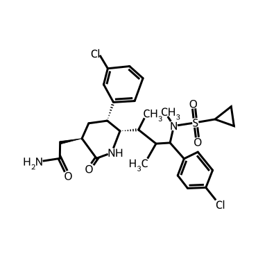 CC(C(C)[C@@H]1NC(=O)[C@@H](CC(N)=O)C[C@@H]1c1cccc(Cl)c1)C(c1ccc(Cl)cc1)N(C)S(=O)(=O)C1CC1